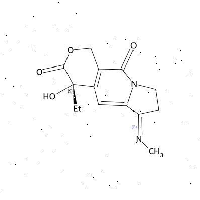 CC[C@@]1(O)C(=O)OCc2c1cc1n(c2=O)CC/C1=N\C